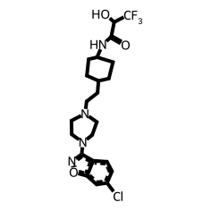 O=C(NC1CCC(CCN2CCN(c3noc4cc(Cl)ccc34)CC2)CC1)C(O)C(F)(F)F